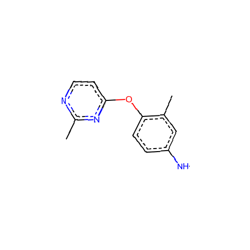 Cc1nccc(Oc2ccc([NH])cc2C)n1